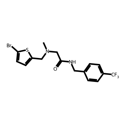 CN(CC(=O)NCc1ccc(C(F)(F)F)cc1)Cc1ccc(Br)s1